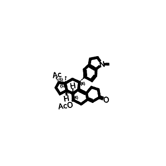 CC(=O)O[C@@H]1CC2=CC(=O)CCC2=C2[C@@H]1[C@@H]1CC[C@H](C(C)=O)[C@@]1(C)C[C@@H]2c1ccc2c(c1)CCN2C